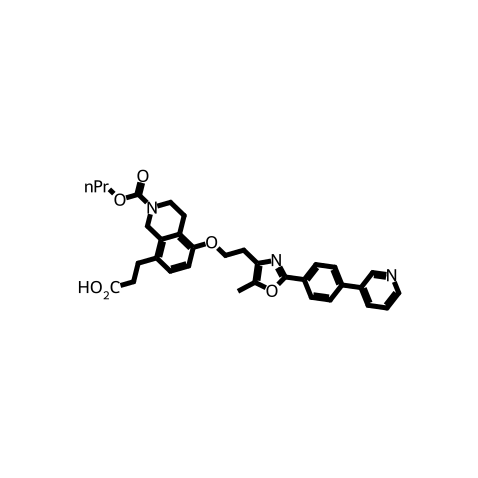 CCCOC(=O)N1CCc2c(OCCc3nc(-c4ccc(-c5cccnc5)cc4)oc3C)ccc(CCC(=O)O)c2C1